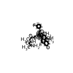 C[C@H](N)C(=O)N[C@@H](C)C(=O)NCOCC(=O)[C@@]12O[C@H](c3cccc(F)c3)O[C@@H]1C[C@H]1[C@@H]3C[C@H](F)C4=CC(=O)C=C[C@]4(C)[C@@]3(F)[C@@H](O)C[C@@]12C